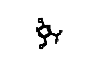 O=Cc1cnc(Cl)nc1C(F)F